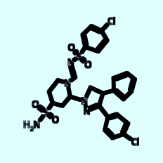 NS(=O)(=O)C1CCN(C=NS(=O)(=O)c2ccc(Cl)cc2)C(N2CC(c3ccccc3)C(c3ccc(Cl)cc3)=N2)C1